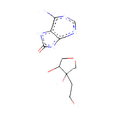 Nc1ncnc2c1[nH]c(=O)n2[C@@H]1OCC(O)(CCO)C1O